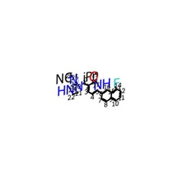 CC(C)C(c1ccc(-c2ccc3cccc(F)c3c2)[nH]c1=O)N1CCN/C1=N\C#N